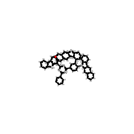 c1ccc(-c2nc(-c3ccc(-n4c5ccccc5c5cc6ccccc6cc54)c(-c4cccc5sc6cc7ccccc7cc6c45)c3)nc(-c3cccc4c3sc3ccccc34)n2)cc1